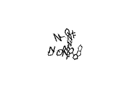 C=C(F)C(=O)N1CCN(c2nc(OC[C@@H]3CCCN3C)nc3c(F)c(-c4cccc5c4C4CCCC4C5)ccc23)C[C@@H]1CC#N